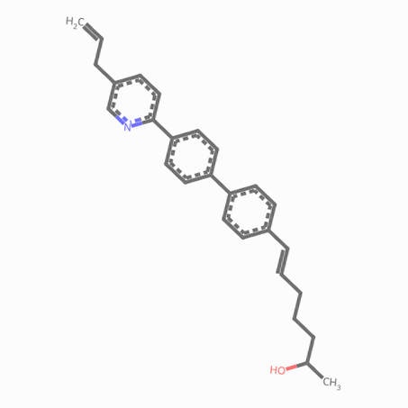 C=CCc1ccc(-c2ccc(-c3ccc(C=CCCCC(C)O)cc3)cc2)nc1